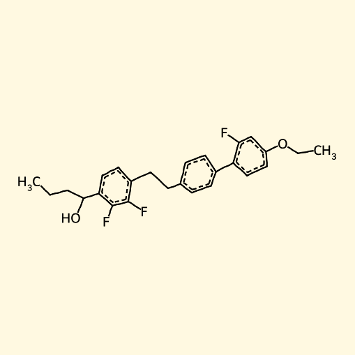 CCCC(O)c1ccc(CCc2ccc(-c3ccc(OCC)cc3F)cc2)c(F)c1F